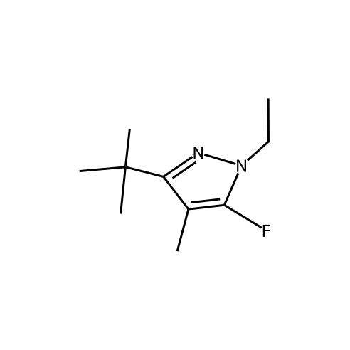 CCn1nc(C(C)(C)C)c(C)c1F